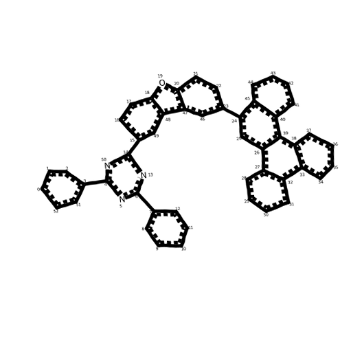 c1ccc(-c2nc(-c3ccccc3)nc(-c3ccc4oc5ccc(-c6cc7c8ccccc8c8ccccc8c7c7ccccc67)cc5c4c3)n2)cc1